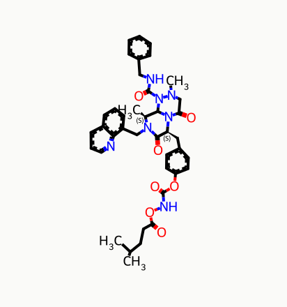 CC(C)CCC(=O)ONC(=O)Oc1ccc(C[C@H]2C(=O)N(Cc3cccc4cccnc34)[C@@H](C)C3N2C(=O)CN(C)N3C(=O)NCc2ccccc2)cc1